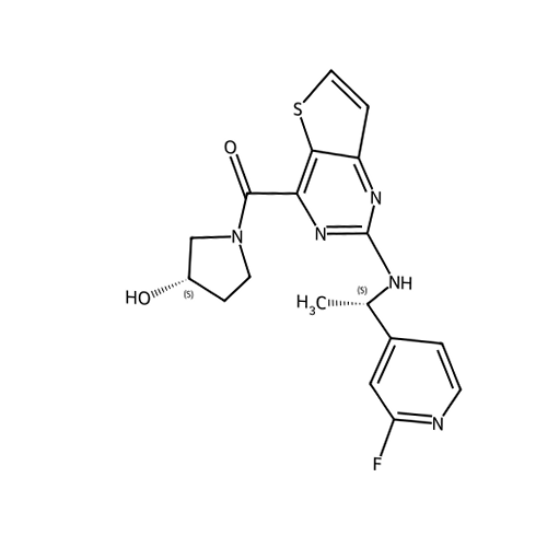 C[C@H](Nc1nc(C(=O)N2CC[C@H](O)C2)c2sccc2n1)c1ccnc(F)c1